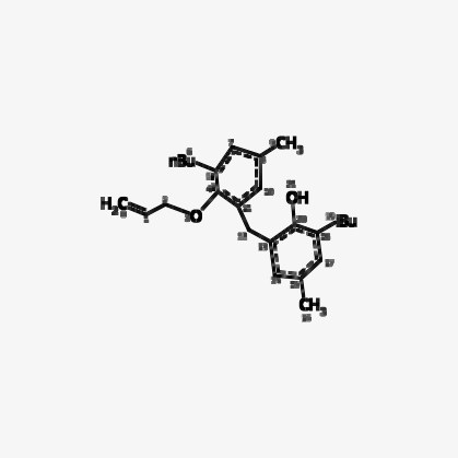 C=CCOc1c(CCCC)cc(C)cc1Cc1cc(C)cc(C(C)CC)c1O